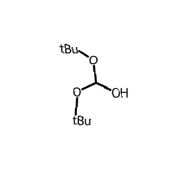 CC(C)(C)OC(O)OC(C)(C)C